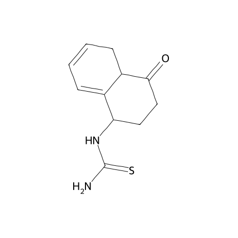 NC(=S)NC1CCC(=O)C2CC=CC=C12